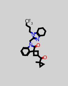 CC1(C(=O)C2CC3(C2)C(=O)N(Cc2nc4c(n2CCCC(F)(F)F)CCCC4)c2ccccc23)CC1